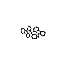 c1ccc([Si](c2ccccc2)(c2cccc3c2[nH]c2ccccc23)c2cccc3c2[nH]c2ccccc23)cc1